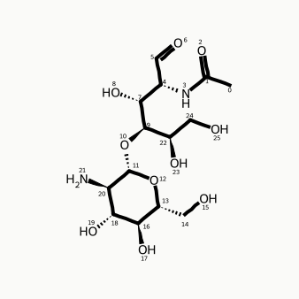 CC(=O)N[C@@H](C=O)[C@@H](O)[C@H](O[C@@H]1O[C@H](CO)[C@@H](O)[C@H](O)[C@H]1N)[C@H](O)CO